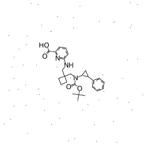 CC(C)(C)OC(=O)N(CC1(CNc2cccc(C(=O)O)n2)CCC1)C1CC1c1ccccc1